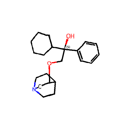 O[C@](COC1CN2CCC1CC2)(c1ccccc1)C1CCCCC1